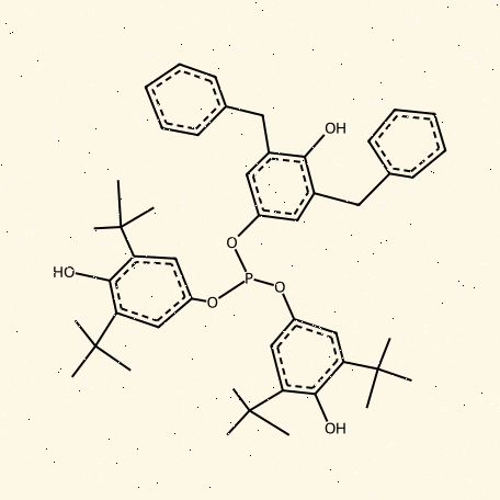 CC(C)(C)c1cc(OP(Oc2cc(Cc3ccccc3)c(O)c(Cc3ccccc3)c2)Oc2cc(C(C)(C)C)c(O)c(C(C)(C)C)c2)cc(C(C)(C)C)c1O